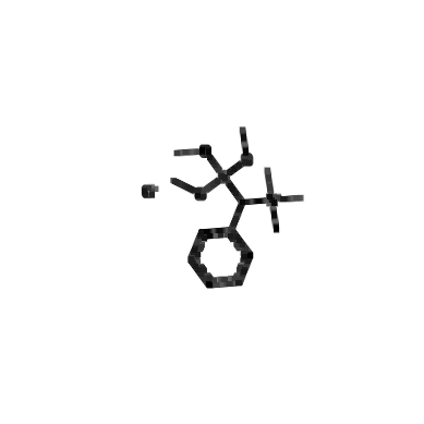 CO[Si](OC)(OC)C(c1ccccc1)[N+](C)(C)C.[Cl-]